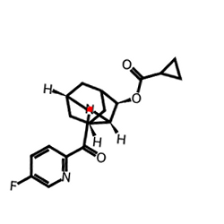 O=C(O[C@@H]1C2C[C@H]3C[C@H](C2)[C@@H]1N(C(=O)c1ccc(F)cn1)C3)C1CC1